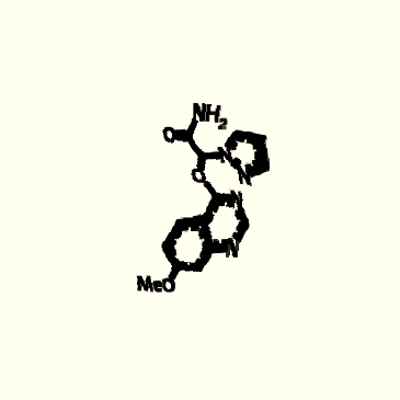 COc1ccc2c(OC(C(N)=O)n3cccn3)ncnc2c1